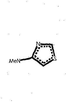 CNc1cs[c]n1